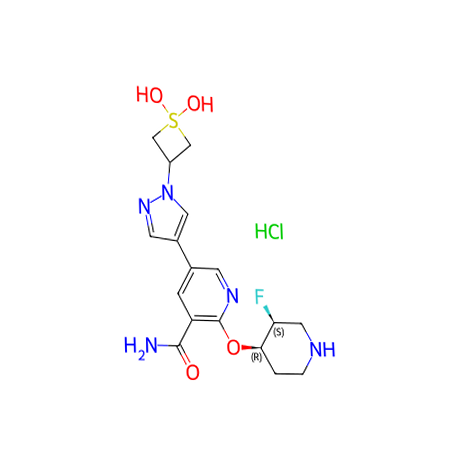 Cl.NC(=O)c1cc(-c2cnn(C3CS(O)(O)C3)c2)cnc1O[C@@H]1CCNC[C@@H]1F